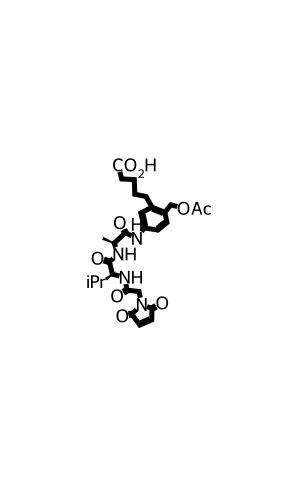 CC(=O)OCc1ccc(NC(=O)[C@H](C)NC(=O)[C@@H](NC(=O)CN2C(=O)C=CC2=O)C(C)C)cc1CCCCC(=O)O